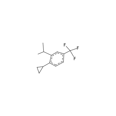 CC(C)c1cc(C(F)(F)F)ccc1C1CC1